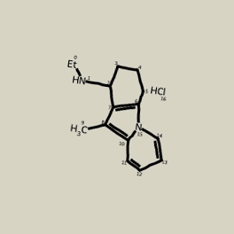 CCNC1CCCc2c1c(C)c1ccccn21.Cl